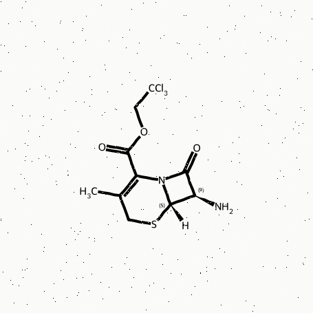 CC1=C(C(=O)OCC(Cl)(Cl)Cl)N2C(=O)[C@@H](N)[C@@H]2SC1